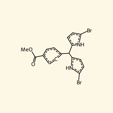 COC(=O)c1ccc(C(c2ccc(Br)[nH]2)c2ccc(Br)[nH]2)cc1